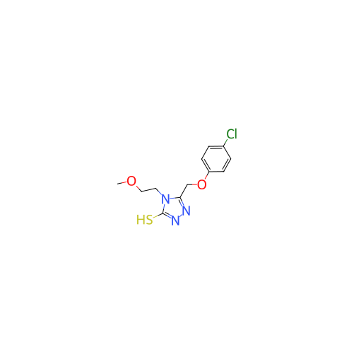 COCCn1c(S)nnc1COc1ccc(Cl)cc1